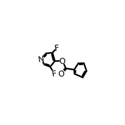 O=C(Oc1c(F)cncc1F)c1ccccc1